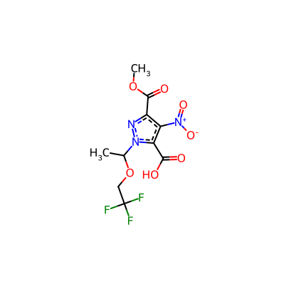 COC(=O)c1nn(C(C)OCC(F)(F)F)c(C(=O)O)c1[N+](=O)[O-]